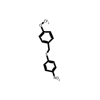 O=[N+]([O-])c1ccc(SCc2ccc(OC(F)(F)F)cc2)cc1